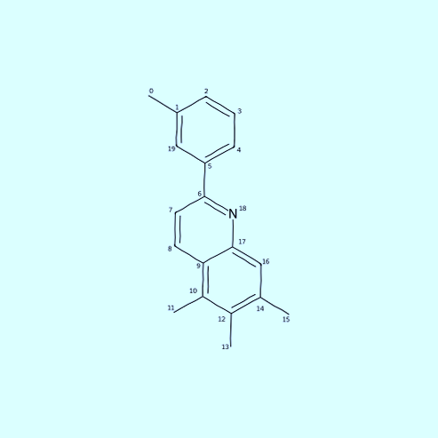 Cc1cccc(-c2ccc3c(C)c(C)c(C)cc3n2)c1